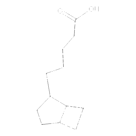 O=C(O)CCCCC1CCC2CCC12